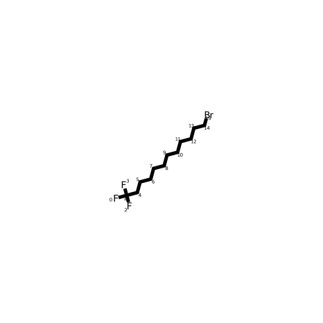 FC(F)(F)CCCCCCCCCCCBr